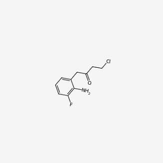 Nc1c(F)cccc1CC(=O)CCCl